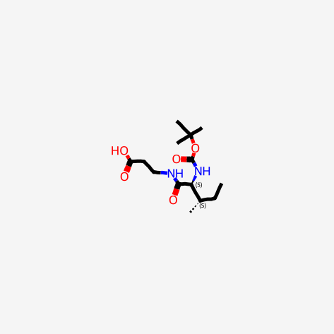 CC[C@H](C)[C@H](NC(=O)OC(C)(C)C)C(=O)NCCC(=O)O